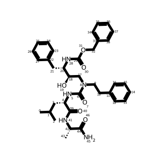 CC(C)C[C@H](NC(=O)N(CCc1ccccc1)C[C@@H](O)[C@H](Cc1ccccc1)NC(=O)OCc1ccccc1)C(=O)N[C@@H](C)C(N)=O